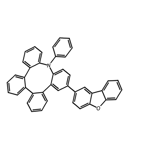 c1ccc(-n2c3ccccc3c3ccccc3c3ccccc3c3cc(-c4ccc5oc6ccccc6c5c4)ccc32)cc1